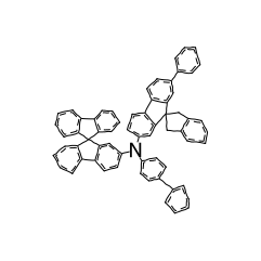 c1ccc(-c2ccc(N(c3ccc4c(c3)C3(Cc5ccccc5C3)c3cc(-c5ccccc5)ccc3-4)c3ccc4c(c3)C3(c5ccccc5-c5ccccc53)c3ccccc3-4)cc2)cc1